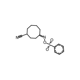 N#CC1CCCC/C(=N/OS(=O)(=O)c2ccccc2)CC1